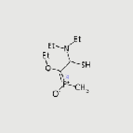 CCO/C(C(S)N(CC)CC)=[P+](/C)[O-]